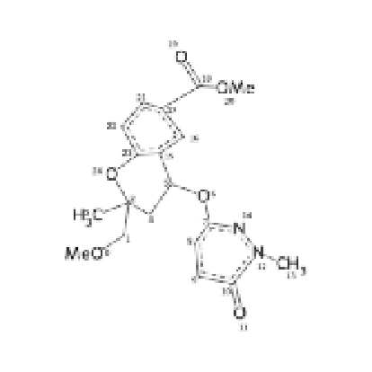 COCC1(C)CC(Oc2ccc(=O)n(C)n2)c2cc(C(=O)OC)ccc2O1